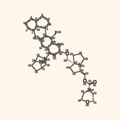 CCc1cccc2cccc(-c3ncc4c(N5CC6CCC(C5)N6)nc(OC[C@]56CCCN5[C@@H](COC(=O)N5CCOCC5)CC6)nc4c3F)c12